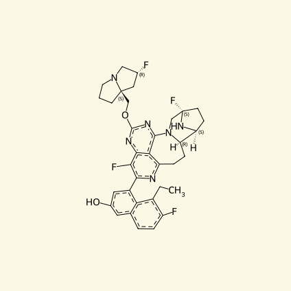 CCc1c(F)ccc2cc(O)cc(-c3nc4c5c(nc(OC[C@@]67CCCN6C[C@H](F)C7)nc5c3F)N3C[C@@]5(F)CC[C@H](N5)[C@H]3CC4)c12